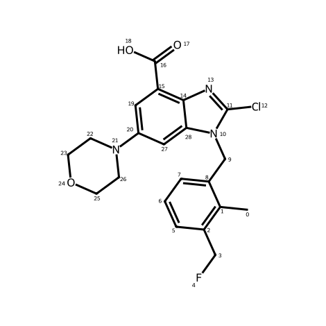 Cc1c(CF)cccc1Cn1c(Cl)nc2c(C(=O)O)cc(N3CCOCC3)cc21